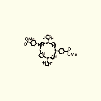 COC(=O)c1ccc(-c2cc3[nH]c2cc2nc(c(-c4n(C)cc[n+]4C)c4ccc([nH]4)c(-c4ccc(C(=O)OC)cc4)c4nc(c3-c3n(C)cc[n+]3C)C=C4)C=C2)cc1